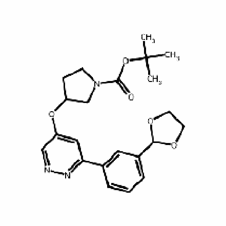 CC(C)(C)OC(=O)N1CCC(Oc2cnnc(-c3cccc(C4OCCO4)c3)c2)C1